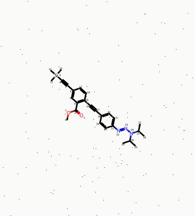 COC(=O)c1cc(C#C[Si](C)(C)C)ccc1C#Cc1ccc(/N=N/N(C(C)C)C(C)C)cc1